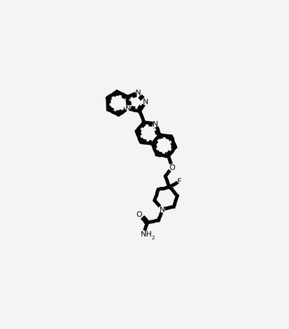 NC(=O)CN1CCC(F)(COc2ccc3nc(-c4nnc5ccccn45)ccc3c2)CC1